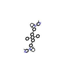 Cc1cc(N2c3ccc(-c4ccc5c(-c6ccccc6)c6cc(-c7ccc8c(c7)C7(C)CCCCC7(C)N8c7ccnc(C)c7)ccc6c(-c6ccccc6)c5c4)cc3C3(C)CCCCC23C)ccn1